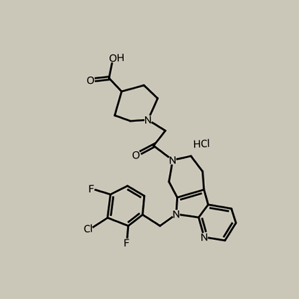 Cl.O=C(O)C1CCN(CC(=O)N2CCc3c(n(Cc4ccc(F)c(Cl)c4F)c4ncccc34)C2)CC1